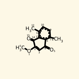 COC1=CC(=O)c2c(C)ccc(C)c2C1=O